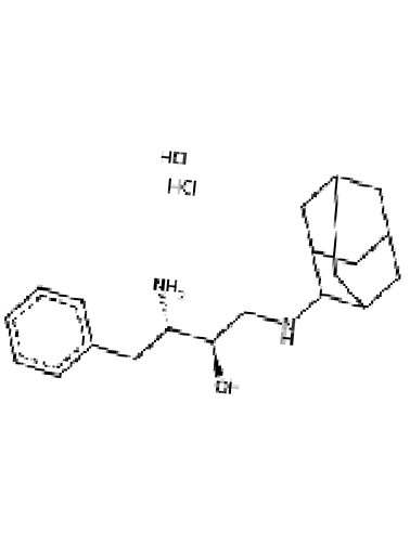 Cl.Cl.N[C@@H](Cc1ccccc1)[C@H](O)CNC1C2CC3CC(C2)CC1C3